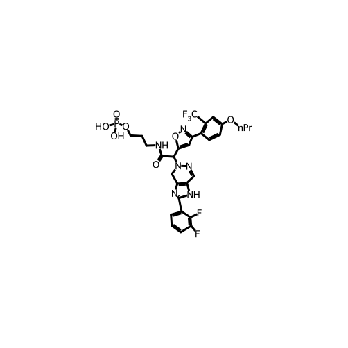 CCCOc1ccc(-c2cc(C(C(=O)NCCCOP(=O)(O)O)N3Cc4nc(-c5cccc(F)c5F)[nH]c4C=N3)on2)c(C(F)(F)F)c1